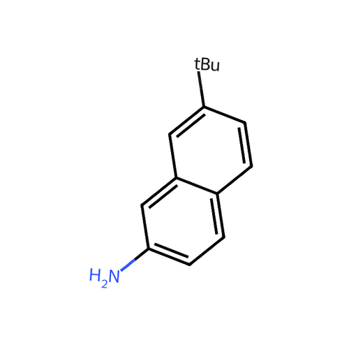 CC(C)(C)c1ccc2ccc(N)cc2c1